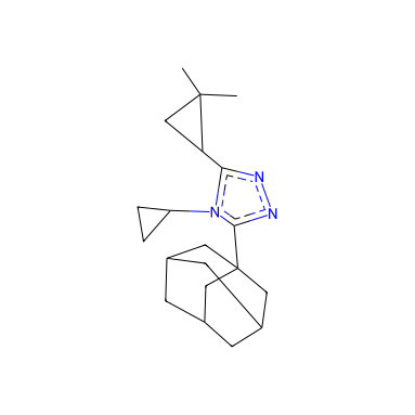 CC1(C)CC1c1nnc(C23CC4CC(CC(C4)C2)C3)n1C1CC1